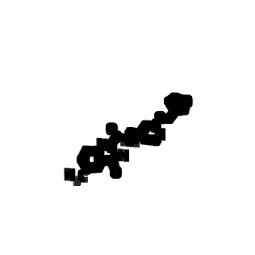 Cc1ccc2nc(C(=O)NCc3ccnc(OCc4ccoc4)c3)[nH]c(=O)c2c1